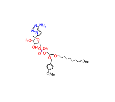 CCCCCCCCCCCCCCCCCCOC[C@H](COP(=O)(O)OC[C@H]1O[C@@](C)(c2ccc3c(N)ncnn23)[C@H](O)[C@@H]1O)OCc1ccc(OC)cc1